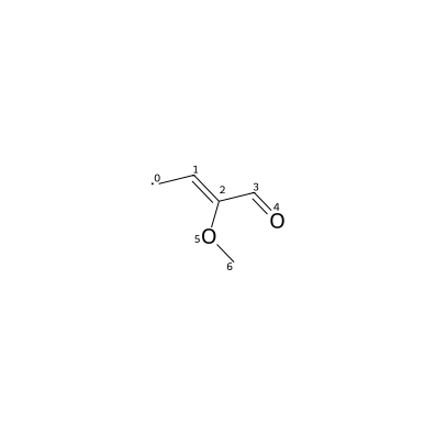 [CH2]C=C(C=O)OC